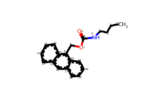 CCCCNC(=O)OCc1c2ccccc2cc2ccccc12